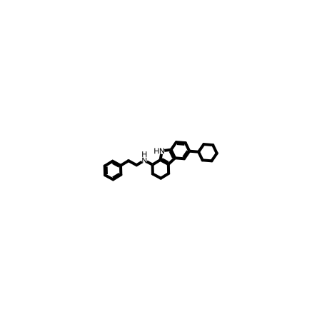 c1ccc(CCNC2CCCc3c2[nH]c2ccc(C4CCCCC4)cc32)cc1